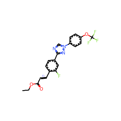 CCOC(=O)/C=C/c1ccc(-c2ncn(-c3ccc(OC(F)(F)F)cc3)n2)cc1F